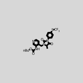 CCCCOC(=O)Nc1cnccc1CN1C(=O)N(c2ccc(SC(F)(F)F)cc2)C(=O)C1C